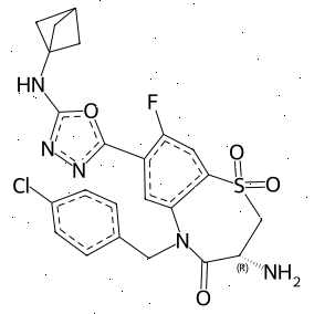 N[C@H]1CS(=O)(=O)c2cc(F)c(-c3nnc(NC45CC(C4)C5)o3)cc2N(Cc2ccc(Cl)cc2)C1=O